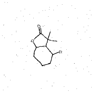 CCC1CCCC2OC(=O)C(C)(C)C12